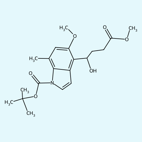 COC(=O)CCC(O)c1c(OC)cc(C)c2c1ccn2C(=O)OC(C)(C)C